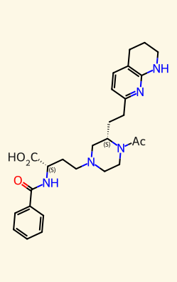 CC(=O)N1CCN(CC[C@H](NC(=O)c2ccccc2)C(=O)O)C[C@@H]1CCc1ccc2c(n1)NCCC2